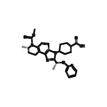 COC(=O)N1c2ccc3c(nc([C@@H](C)Oc4ccccn4)n3C3CCC(C(=O)O)CC3)c2CC[C@@H]1C